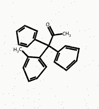 CC(=O)C(c1ccccc1)(c1ccccc1)c1ccccc1C